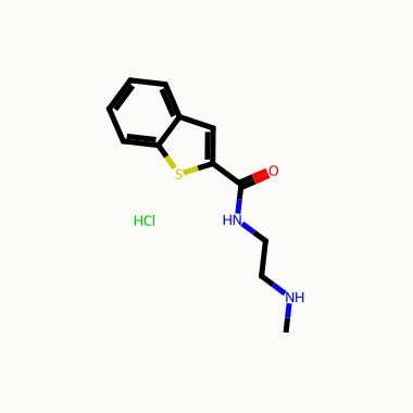 CNCCNC(=O)c1cc2ccccc2s1.Cl